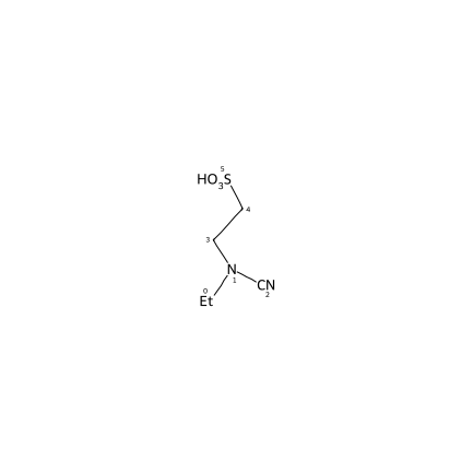 CCN(C#N)CCS(=O)(=O)O